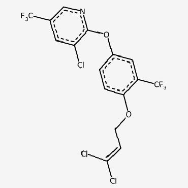 FC(F)(F)c1cnc(Oc2ccc(OCC=C(Cl)Cl)c(C(F)(F)F)c2)c(Cl)c1